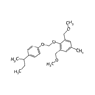 CCC(C)c1ccc(OCOc2c(COC)cc(C)cc2COC)cc1